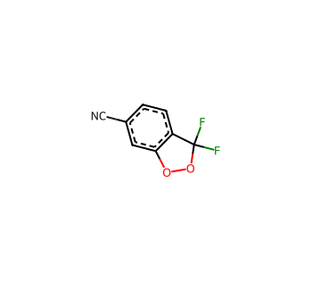 N#Cc1ccc2c(c1)OOC2(F)F